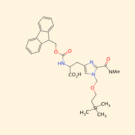 CNC(=O)c1nc(CC(NC(=O)OCC2c3ccccc3-c3ccccc32)C(=O)O)cn1COCC[Si](C)(C)C